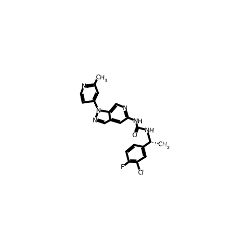 Cc1cc(-n2ncc3cc(NC(=O)N[C@H](C)c4ccc(F)c(Cl)c4)ncc32)ccn1